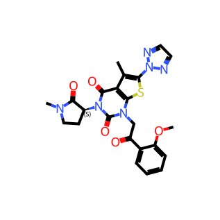 COc1ccccc1C(=O)Cn1c(=O)n([C@H]2CCN(C)C2=O)c(=O)c2c(C)c(-n3nccn3)sc21